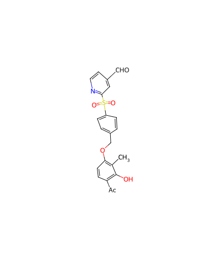 CC(=O)c1ccc(OCc2ccc(S(=O)(=O)c3cc(C=O)ccn3)cc2)c(C)c1O